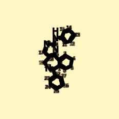 C1=C2C(=CCC1)c1nc(Nc3ccccc3)ncc1CN=C2c1ccccc1